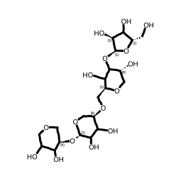 OC[C@@H]1O[C@@H](OC2C(O)[C@H](CO[C@@H]3CO[C@@H](O[C@@H]4COCC(O)C4O)C(O)C3O)OC[C@H]2O)[C@@H](O)C1O